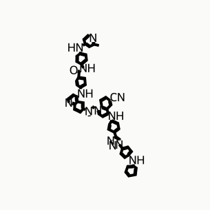 Cc1cc(Nc2ccc(NC(=O)c3ccc(Nc4ccnc5ccc(N(C)C[n+]6ccc(Nc7ccc(-c8cn(-c9ccc(Nc%10ccccc%10)cc9)nn8)cc7)c7cc(C#N)ccc76)cc45)cc3)cc2)ccn1